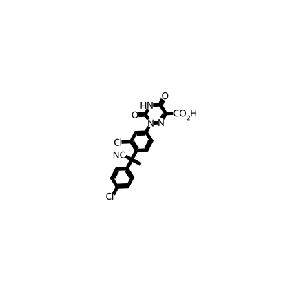 CC(C#N)(c1ccc(Cl)cc1)c1ccc(-n2nc(C(=O)O)c(=O)[nH]c2=O)cc1Cl